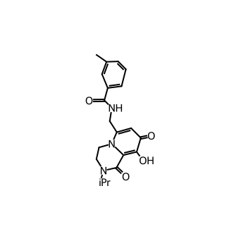 Cc1cccc(C(=O)NCc2cc(=O)c(O)c3n2CCN(C(C)C)C3=O)c1